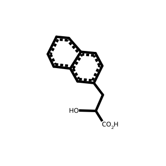 O=C(O)C(O)Cc1ccc2ccccc2c1